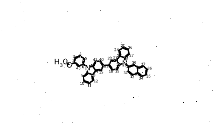 COc1cccc(-n2c3ccccc3c3cc(-c4ccc5c(c4)c4ccccc4n5-c4ccc5ccccc5c4)ccc32)c1